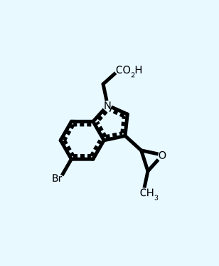 CC1OC1c1cn(CC(=O)O)c2ccc(Br)cc12